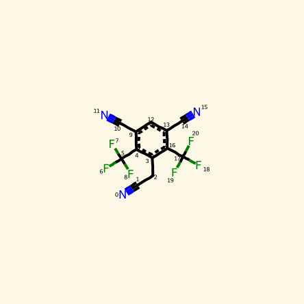 N#CCc1c(C(F)(F)F)c(C#N)cc(C#N)c1C(F)(F)F